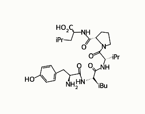 CC[C@H](C)[C@H](NC(=O)[C@@H](N)Cc1ccc(O)cc1)C(=O)N[C@H](C(=O)N1CCC[C@H]1C(=O)N[C@@H](CC(C)C)C(=O)O)C(C)C